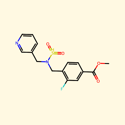 COC(=O)c1ccc(CN(Cc2cccnc2)[SH](=O)=O)c(F)c1